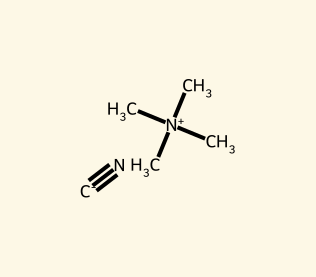 C[N+](C)(C)C.[C-]#N